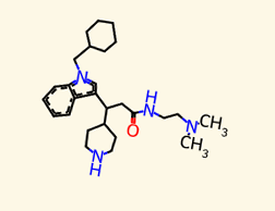 CN(C)CCNC(=O)CC(c1cn(CC2CCCCC2)c2ccccc12)C1CCNCC1